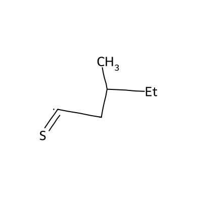 CCC(C)C[C]=S